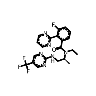 CCN(C(=O)c1cccc(F)c1-c1ncccn1)[C@@H](C)CNc1ncc(C(F)(F)F)cn1